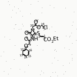 CCOC(=O)C=CS[C@@H]1[C@@H](NC(=O)COc2ccccc2)C(=O)N1CC(=O)OCCl